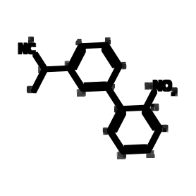 CC(C#N)c1cccc(-c2ccccc2[N+](=O)[O-])c1